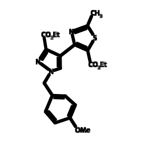 CCOC(=O)c1nn(Cc2ccc(OC)cc2)cc1-c1nc(C)sc1C(=O)OCC